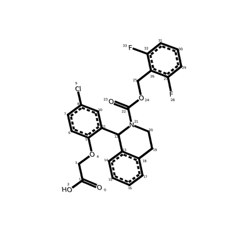 O=C(O)COc1ccc(Cl)cc1C1c2ccccc2CCN1C(=O)OCc1c(F)cccc1F